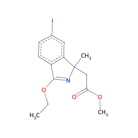 CCOC1=NC(C)(CC(=O)OC)c2cc(I)ccc21